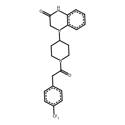 O=C1CN(C2CCN(C(=O)Cc3ccc(C(F)(F)F)cc3)CC2)c2ccccc2N1